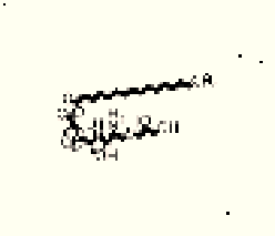 CCCCCCCCCCCCCCCC(=O)OC(=O)[C@H](CO)NC(=O)[C@H](CO)NC(=O)[C@@H](N)CSCC(O)CO